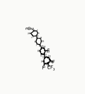 CCCCC1CCC(C2CCC(c3ccc(-c4cc(F)c(C(F)(F)F)c(F)c4)c(F)c3)CC2)CC1